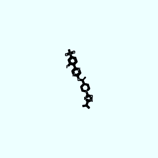 CC(C)c1noc(N2CCC([C@H](C)Oc3cnc(-c4ccc(S(C)(=O)=O)cc4F)cn3)CC2)n1